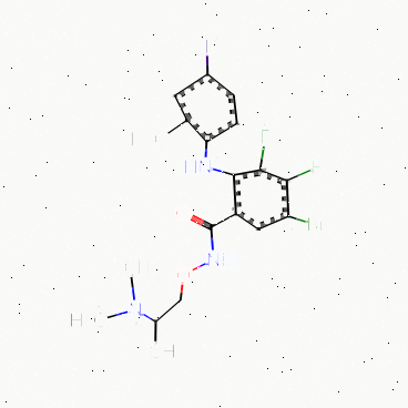 Cc1cc(I)ccc1Nc1c(C(=O)NOCC(C)N(C)C)cc(Br)c(F)c1F